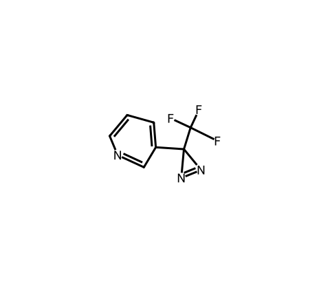 FC(F)(F)C1(c2cccnc2)N=N1